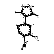 [C-]#[N+]c1ccc(-c2c(C)n[nH]c2C)cc1Cl